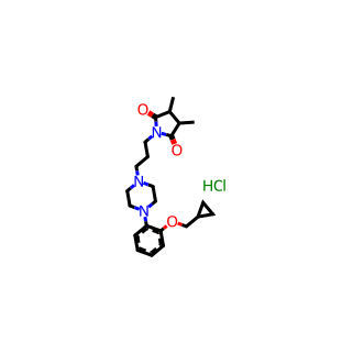 CC1C(=O)N(CCCN2CCN(c3ccccc3OCC3CC3)CC2)C(=O)C1C.Cl